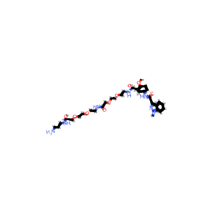 COc1ccc(NC(=O)c2nn(C)c3ccccc23)cc1C(=O)NCCOCCOCC(=O)NCCOCCOCC(=O)NCCCN